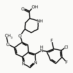 COc1cc2ncnc(Nc3ccc(F)c(Cl)c3F)c2cc1OC1CCNC(C(=O)O)C1